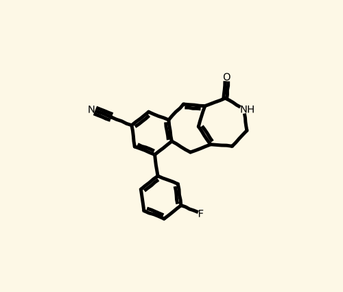 N#Cc1cc2c(c(-c3cccc(F)c3)c1)CC1=CC(=C2)C(=O)NCC1